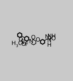 CS(=O)(=O)c1c(-c2ccccc2)ccc(N2CCCC(Oc3cccc(-c4n[nH]c(=O)[nH]4)c3)C2=O)c1F